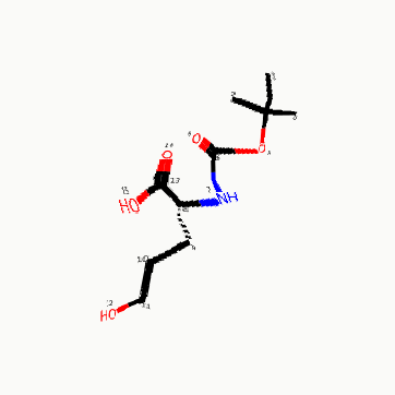 CC(C)(C)OC(=O)N[C@H](CCCO)C(=O)O